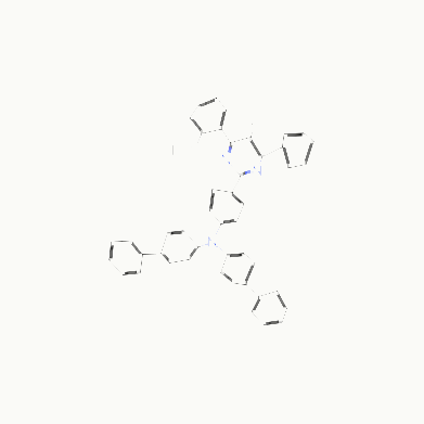 Cc1ccccc1-c1nc(-c2ccc(N(c3ccc(-c4ccccc4)cc3)c3ccc(-c4ccccc4)cc3)cc2)nc(-c2ccccc2)c1C